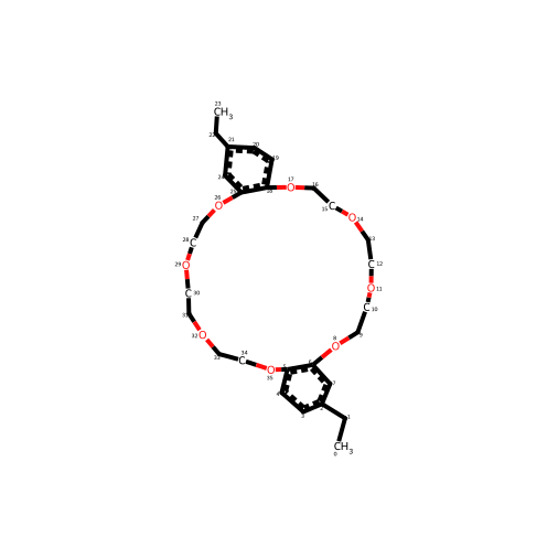 CCc1ccc2c(c1)OCCOCCOCCOc1ccc(CC)cc1OCCOCCOCCO2